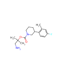 Cc1cc(F)ccc1C1CCCN(C(=O)OC(C)(C)CN)C1